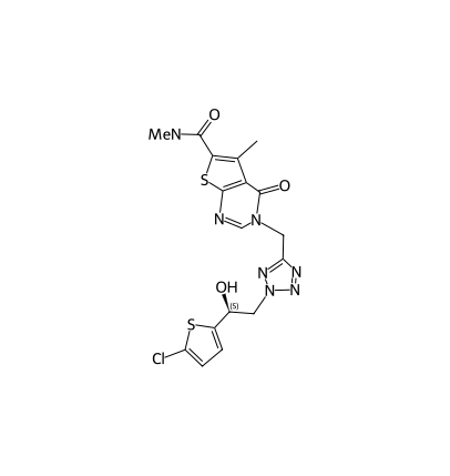 CNC(=O)c1sc2ncn(Cc3nnn(C[C@H](O)c4ccc(Cl)s4)n3)c(=O)c2c1C